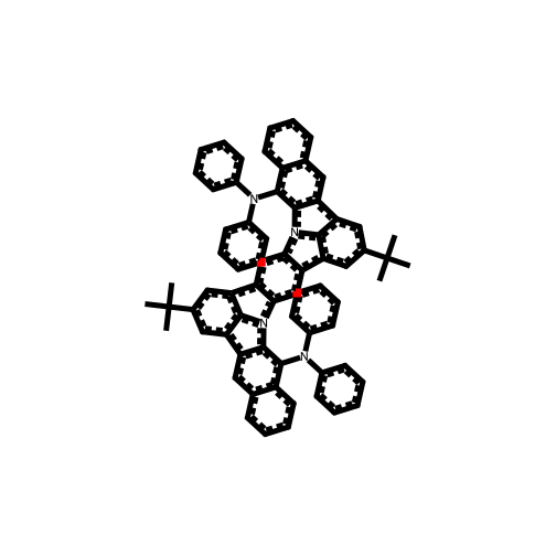 CC(C)(C)c1cc2c3cc4ccccc4c(N(c4ccccc4)c4ccccc4)c3n3c4cc5c6cc(C(C)(C)C)cc7c8cc9ccccc9c(N(c9ccccc9)c9ccccc9)c8n(c5nc4c(c1)c23)c67